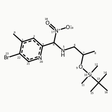 Cc1cc(C(NCC(C)O[Si](C)(C)C(C)(C)C)[N+](=O)[O-])ncc1Br